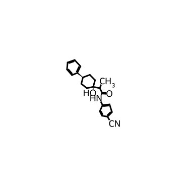 CC(C(=O)Nc1ccc(C#N)cc1)[C@]1(O)CC[C@H](c2ccccc2)CC1